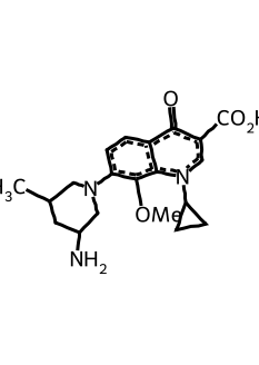 COc1c(N2CC(C)CC(N)C2)ccc2c(=O)c(C(=O)O)cn(C3CC3)c12